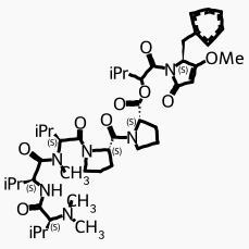 COC1=CC(=O)N(C(=O)C(OC(=O)[C@@H]2CCCN2C(=O)[C@@H]2CCCN2C(=O)[C@H](C(C)C)N(C)C(=O)[C@@H](NC(=O)[C@H](C(C)C)N(C)C)C(C)C)C(C)C)[C@H]1Cc1ccccc1